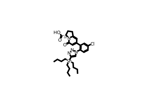 CCC[CH2][Sn]([CH2]CCC)([CH2]CCC)[c]1cn(-c2ccc(Cl)cc2-c2cc3n(c(=O)c2)[C@H](C(=O)O)CC3)nn1